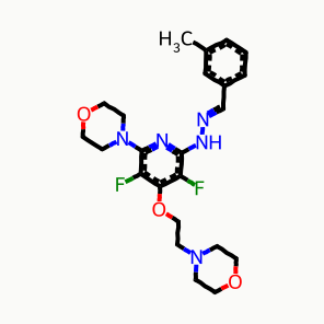 Cc1cccc(C=NNc2nc(N3CCOCC3)c(F)c(OCCN3CCOCC3)c2F)c1